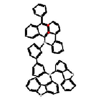 c1ccc(-c2ccccc2N(c2cccc(-c3cccc(N(c4cccc5sc6ccccc6c45)c4cccc5sc6ccccc6c45)c3)c2)c2ccc(-c3ccccc3)c3ccccc23)cc1